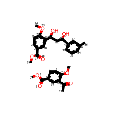 COC(=O)c1ccc(OC)c(C(C)=O)c1.COC(=O)c1ccc(OC)c(C(O)CC(O)c2cccc(C)c2)c1